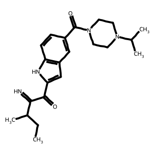 CCC(C)C(=N)C(=O)c1cc2cc(C(=O)N3CCN(C(C)C)CC3)ccc2[nH]1